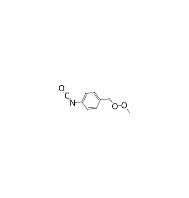 COOCc1ccc(N=C=O)cc1